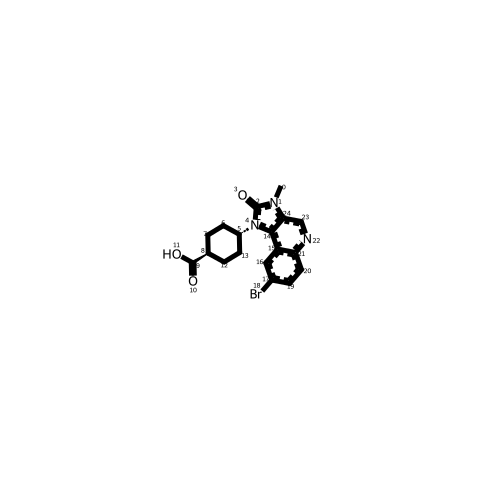 Cn1c(=O)n([C@H]2CC[C@H](C(=O)O)CC2)c2c3cc(Br)ccc3ncc21